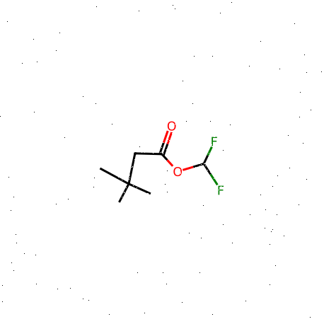 CC(C)(C)CC(=O)OC(F)F